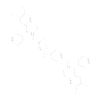 COc1cc2c(cc1OC)C(c1ccccc1)N(CC(=O)NS(=O)(=O)c1ccc(CN3CCc4cc(OC)c(OC)cc4C3c3ccccc3)cc1)CC2